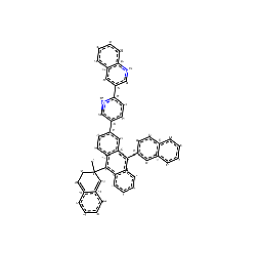 CC1(c2c3ccccc3c(-c3ccc4ccccc4c3)c3cc(-c4ccc(-c5cnc6ccccc6c5)nc4)ccc23)C=c2ccccc2=CC1